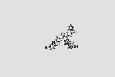 O=C(O)C(F)(F)F.O=C(O)C(F)(F)F.OC(COc1ccc(-c2nc3cc(Br)cnc3[nH]2)cc1)CN1CCC(O)(c2ccccc2)CC1